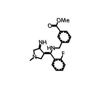 COC(=O)c1cccc(CN/C(=C2/CN(C)CC2=N)c2ccccc2F)c1